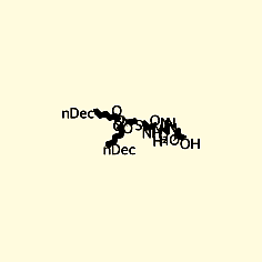 CCCCCCCCCCCCCCC(=O)OC[C@H](CSC[C@@H](N)C(=O)Nc1cn(C[C@@H](O)CO)nn1)OC(=O)CCCCCCCCCCCCCC